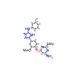 COc1cc(-c2nnc(Nc3cccc(C)c3)[nH]2)ccc1Oc1cc(N)nc(SC)n1